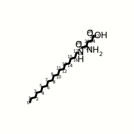 CCCCCCCCCCCCCCCCCCNC(=O)[C@@H](N)CCC(=O)O